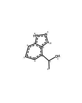 CC(O)c1cccc2[nH]nnc12